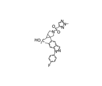 Cc1cc2c(cnn2-c2ccc(F)cc2)cc1C12CN(S(=O)(=O)c3cnn(C)n3)CC1C2C(=O)O